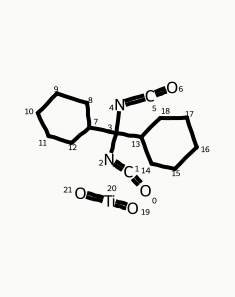 O=C=NC(N=C=O)(C1CCCCC1)C1CCCCC1.[O]=[Ti]=[O]